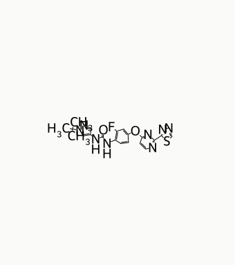 CC(C)(C)n1cc(NC(=O)Nc2ccc(Oc3ccnc(-c4nncs4)n3)cc2F)cn1